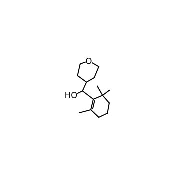 CC1=C(C(O)C2CCOCC2)C(C)(C)CCC1